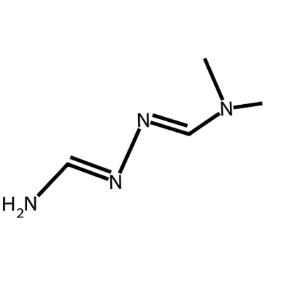 CN(C)C=NN=CN